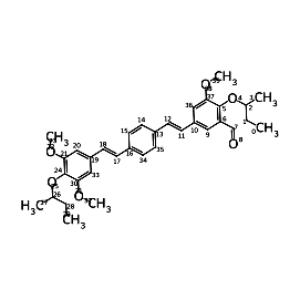 CCC(C)Oc1c(C=O)cc(/C=C/c2ccc(/C=C/c3cc(OC)c(OC(C)CC)c(OC)c3)cc2)cc1OC